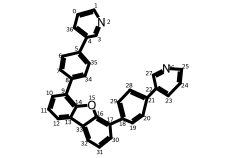 c1cncc(-c2ccc(-c3cccc4c3oc3c(-c5ccc(-c6cccnc6)cc5)cccc34)cc2)c1